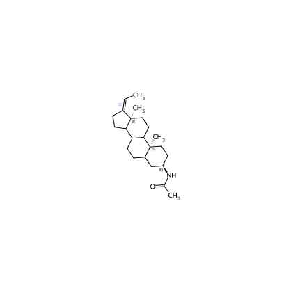 C/C=C1/CCC2C3CCC4C[C@H](NC(C)=O)CC[C@]4(C)C3CC[C@]12C